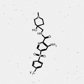 CN1CCC(O)(CNC(=O)c2ncc(S(=O)(=O)c3ccc(C(F)(F)F)cc3)cc2N)CC1